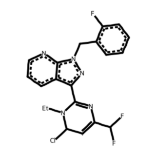 CCN1C(c2nn(Cc3ccccc3F)c3ncccc23)=NC(C(F)F)=[C]C1Cl